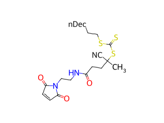 CCCCCCCCCCCCSC(=S)SC(C)(C#N)CCC(=O)NCCN1C(=O)C=CC1=O